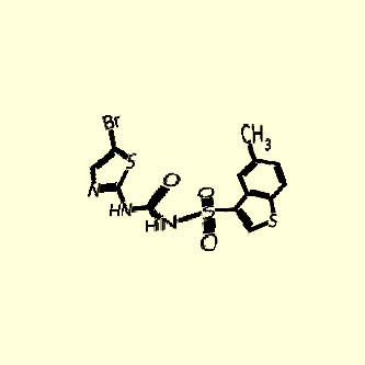 Cc1ccc2scc(S(=O)(=O)NC(=O)Nc3ncc(Br)s3)c2c1